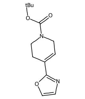 CC(C)(C)OC(=O)N1CC=C(c2ncco2)CC1